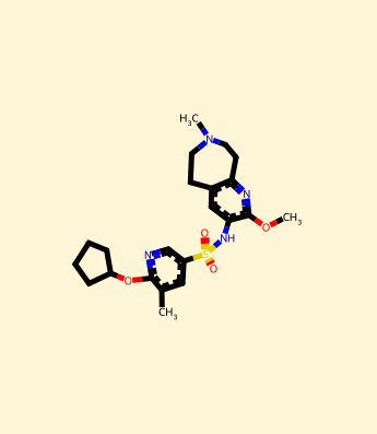 COc1nc2c(cc1NS(=O)(=O)c1cnc(OC3CCCC3)c(C)c1)CCN(C)CC2